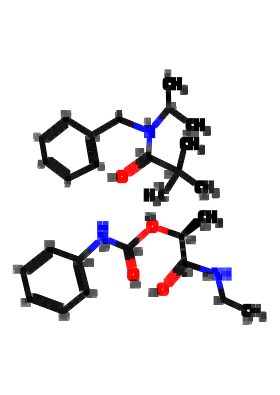 CC(C)N(Cc1ccccc1)C(=O)C(C)(C)C.CCNC(=O)[C@H](C)OC(=O)Nc1ccccc1